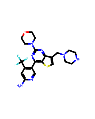 Nc1cc(C(F)(F)F)c(-c2nc(N3CCOCC3)nc3c(CN4CCNCC4)csc23)cn1